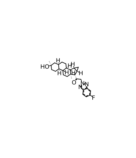 C[C@@]1(O)CC[C@H]2[C@H](CC[C@@H]3[C@@H]2CC[C@@]2(C)[C@H]3[C@@H]3C[C@@H]3[C@@H]2C(=O)Cn2nc3ccc(F)cc3n2)C1